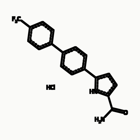 Cl.NC(=O)c1ccc(-c2ccc(-c3ccc(C(F)(F)F)cc3)cc2)[nH]1